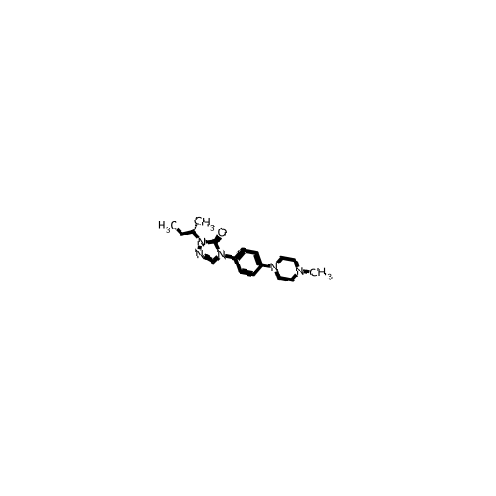 CC[C@H](C)n1ncn(-c2ccc(N3CCN(C)CC3)cc2)c1=O